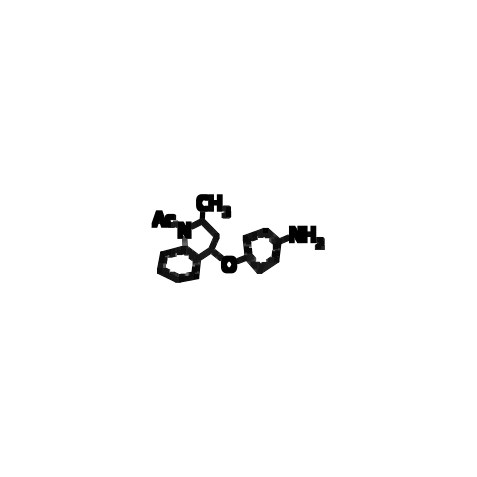 CC(=O)N1c2ccccc2C(Oc2ccc(N)cc2)CC1C